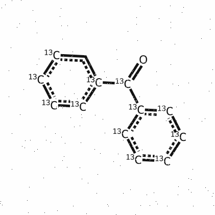 O=[13C]([13c]1c[13cH][13cH][13cH][13cH]1)[13c]1[13cH][13cH][13cH][13cH][13cH]1